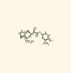 Cc1cc(CNC(=O)c2cc(C(=O)O)n3nccc3n2)ccc1F